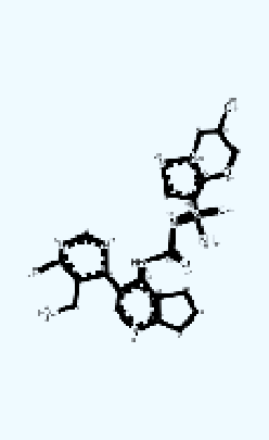 CCc1c(F)ncnc1-c1cnc2c(c1NC(=O)N=S(N)(=O)c1cnn3c1OCC(O)C3)CCC2